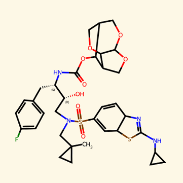 CC1(CN(C[C@@H](O)[C@H](Cc2ccc(F)cc2)NC(=O)OC2C3COC4OCC2C4OC3)S(=O)(=O)C2=CC3SC(NC4CC4)=NC3C=C2)CC1